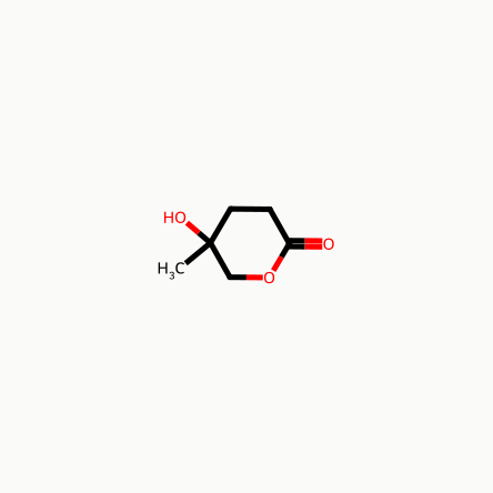 CC1(O)CCC(=O)OC1